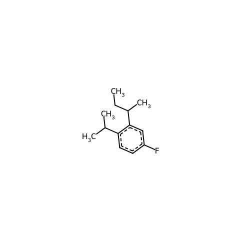 CCC(C)c1cc(F)ccc1C(C)C